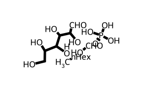 CCCCCCC.O=CC(O)C(O)C(O)C(O)CO.O=CO.O=P(O)(O)O